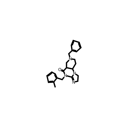 Cc1ccccc1CN1C(=O)C2CN(Cc3ccccc3)CCC2N2CCN=C12